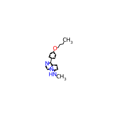 CCCCOc1ccc(-c2nccn3c(NC)ccc23)cc1